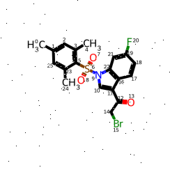 Cc1cc(C)c(S(=O)(=O)n2cc(C(=O)CBr)c3ccc(F)cc32)c(C)c1